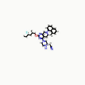 CC[C@H](F)C[C@@H](C)COc1nc2c(c(N3CCN[C@@H](CC#N)C3)n1)CCN(c1cccc3cccc(C)c13)C2